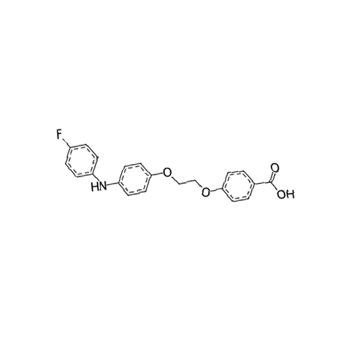 O=C(O)c1ccc(OCCOc2ccc(Nc3ccc(F)cc3)cc2)cc1